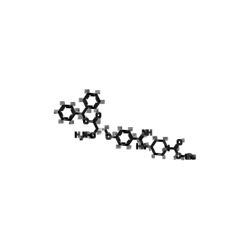 CC(C)(C)OC(=O)N1CCC(NC(=N)c2ccc(OC[C@H](ON)C(=O)OC(c3ccccc3)c3ccccc3)cc2)CC1